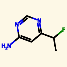 CC(F)c1cc(N)ncn1